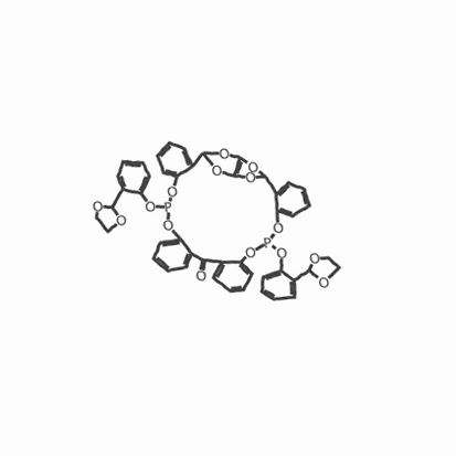 O=C1c2ccccc2OP(Oc2ccccc2C2OCCO2)Oc2ccccc2C2OC3=C(O2)OC(O3)c2ccccc2OP(Oc2ccccc2C2OCCO2)Oc2ccccc21